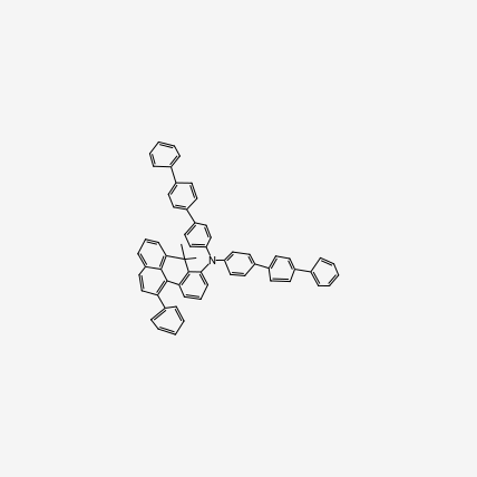 CC1(C)c2c(cccc2N(c2ccc(-c3ccc(-c4ccccc4)cc3)cc2)c2ccc(-c3ccc(-c4ccccc4)cc3)cc2)-c2c(-c3ccccc3)ccc3cccc1c23